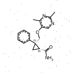 Cc1ncc(OC[C@@]2(c3ccccc3)C[C@H]2C(N)=O)c(C)n1